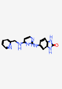 O=c1[nH]c2ccc(Nc3nccc(NCc4ccccn4)n3)cc2[nH]1